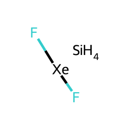 F[Xe]F.[SiH4]